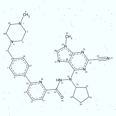 CN1CCN(Cc2ccc(-c3cccc(C(=O)NN(c4nc(C#N)nc5c4ncn5C)C4CCCC4)n3)cc2)CC1